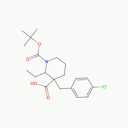 CCC1N(C(=O)OC(C)(C)C)CCCC1(Cc1ccc(Cl)cc1)C(=O)O